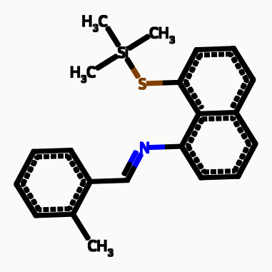 Cc1ccccc1C=Nc1cccc2cccc(S[Si](C)(C)C)c12